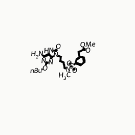 CCCCOc1nc(N)c2[nH]c(=O)n(CCCCN(C)S(=O)(=O)c3cccc(CC(=O)OC)c3)c2n1